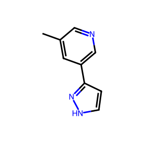 Cc1cncc(-c2cc[nH]n2)c1